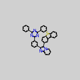 c1ccc(-c2nc(-c3ccccc3)nc(-c3cccc(-c4nc5ccccn5c4-c4ccc5sc6ccccc6c5c4)c3)n2)cc1